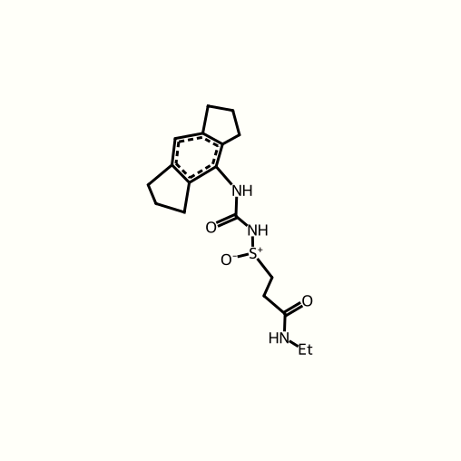 CCNC(=O)CC[S+]([O-])NC(=O)Nc1c2c(cc3c1CCC3)CCC2